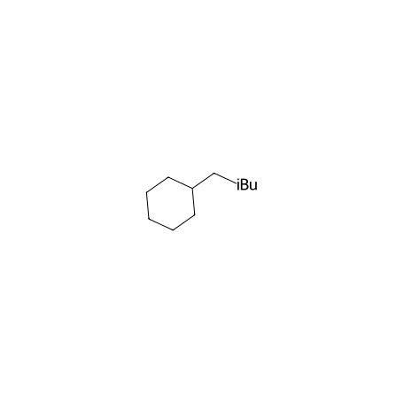 CCC(C)CC1CCCCC1